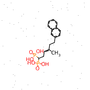 C/C(=C\CC(P(=O)(O)O)P(=O)(O)O)CCc1ccc2ccccc2c1